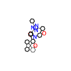 c1ccc(-c2nc(-c3ccccc3)nc(-c3cccc4oc5ccc(-n6c7ccccc7c7cc8c(cc76)OC6CCCCC6C86c7ccccc7-c7ccccc76)cc5c34)n2)cc1